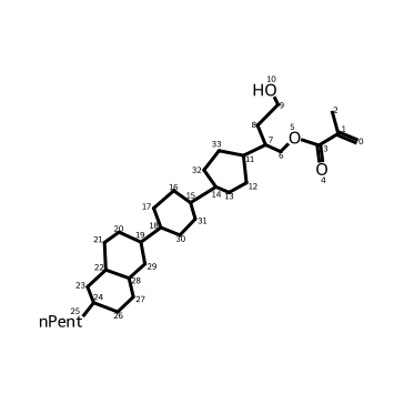 C=C(C)C(=O)OCC(CCO)C1CCC(C2CCC(C3CCC4CC(CCCCC)CCC4C3)CC2)CC1